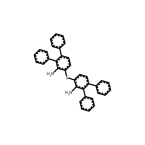 Nc1c(Sc2ccc(-c3ccccc3)c(-c3ccccc3)c2N)ccc(-c2ccccc2)c1-c1ccccc1